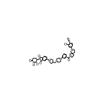 N#Cc1ccc(N2CCC3(CCN(C(=O)c4cccc(N5CCN(CC6CCN(c7ccc8c(c7)C(=O)N(C7CCC(=O)NC7=O)C8=O)CC6)CC5)c4)C3)C2)cc1Cl